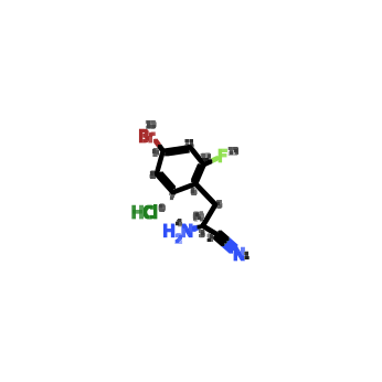 Cl.N#C[C@@H](N)Cc1ccc(Br)cc1F